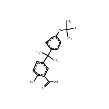 CC(C)(C)Oc1ccc(C(C)(C)c2ccc(O)c(C(=O)O)c2)cc1